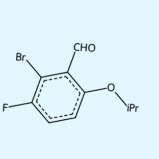 CC(C)Oc1ccc(F)c(Br)c1C=O